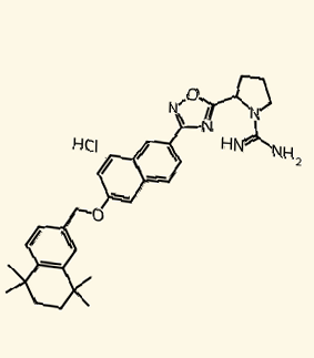 CC1(C)CCC(C)(C)c2cc(COc3ccc4cc(-c5noc(C6CCCN6C(=N)N)n5)ccc4c3)ccc21.Cl